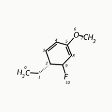 CC[C@@H]1C=CC(OC)=CC1F